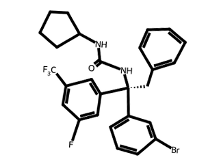 O=C(NC1CCCC1)N[C@@](Cc1ccccc1)(c1cccc(Br)c1)c1cc(F)cc(C(F)(F)F)c1